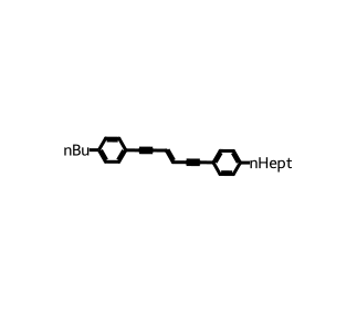 CCCCCCCc1ccc(C#C/C=C/C#Cc2ccc(CCCC)cc2)cc1